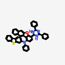 c1ccc(C2=NC(c3ccccc3)NC(c3ccc(N(c4ccccc4)c4ccc5c(c4)sc4ccccc45)c4c3oc3cc5ccccc5cc34)N2)cc1